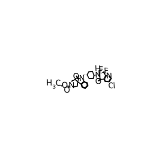 CCOC(=O)N1CCC2(CC1)C(=O)N(C[C@H]1CC[C@H](NC(=O)c3cc(Cl)cnc3C(F)(F)F)CC1)c1ccccc12